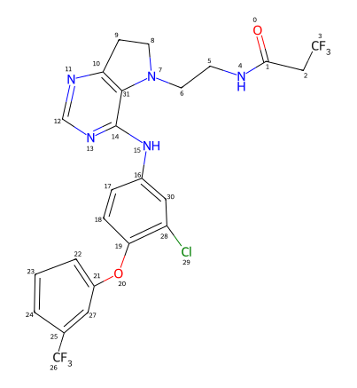 O=C(CC(F)(F)F)NCCN1CCc2ncnc(Nc3ccc(Oc4cccc(C(F)(F)F)c4)c(Cl)c3)c21